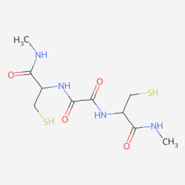 CNC(=O)C(CS)NC(=O)C(=O)NC(CS)C(=O)NC